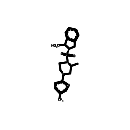 CC1CN(c2ccc(C(F)(F)F)cn2)CCN1S(=O)(=O)[C@@H]1Cc2ccccc2C1C(=O)O